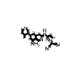 Cc1ccncc1-c1cc(N)c2cnc(Nc3ccn(C(C#N)C#N)n3)cc2c1